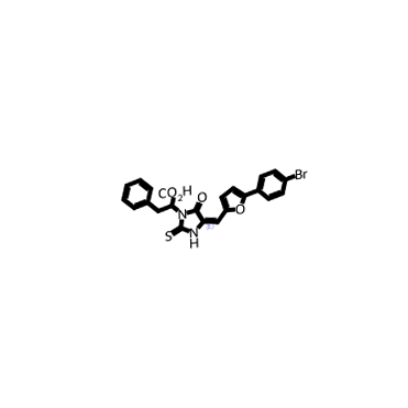 O=C(O)C(Cc1ccccc1)N1C(=O)/C(=C\c2ccc(-c3ccc(Br)cc3)o2)NC1=S